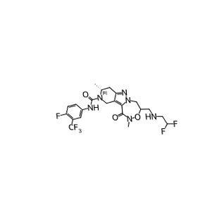 C[C@@H]1Cc2nn3c(c2CN1C(=O)Nc1ccc(F)c(C(F)(F)F)c1)C(=O)N(C)OC(CNCC(F)F)C3